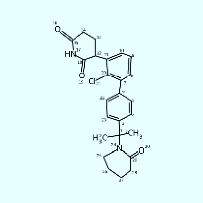 CC(C)(c1ccc(-c2cccc(C3CCC(=O)NC3=O)c2Cl)cc1)N1CCCCC1=O